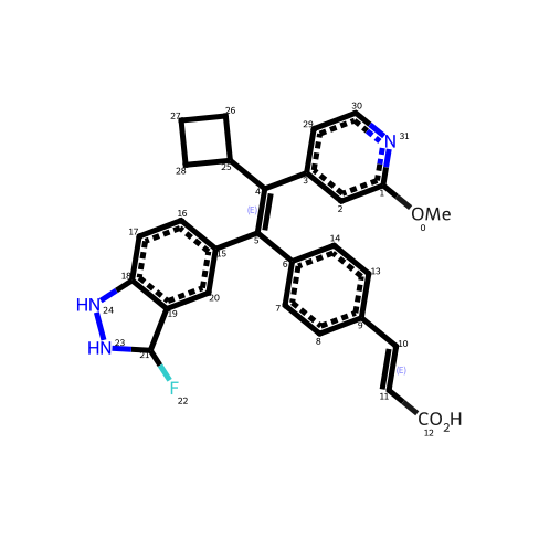 COc1cc(/C(=C(\c2ccc(/C=C/C(=O)O)cc2)c2ccc3c(c2)C(F)NN3)C2CCC2)ccn1